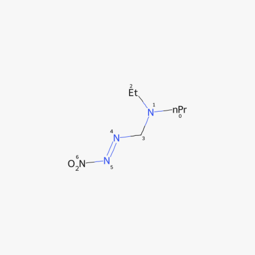 [CH2]CCN(CC)CN=N[N+](=O)[O-]